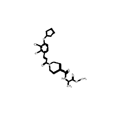 COC(=O)C(C)NC(=O)C1CCN(C(=O)/C=C/c2ccc(OC3CCCC3)c(Cl)c2Cl)CC1